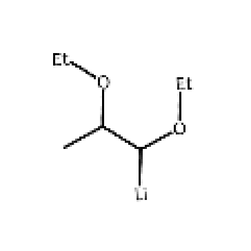 [Li][CH](OCC)C(C)OCC